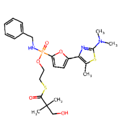 Cc1sc(N(C)C)nc1-c1ccc(P(=O)(NCc2ccccc2)OCCSC(=O)C(C)(C)CO)o1